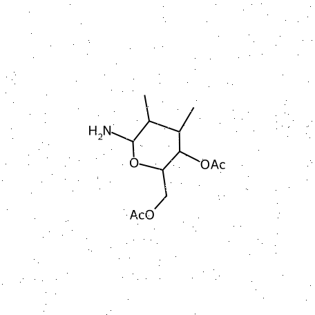 CC(=O)OCC1OC(N)C(C)C(C)C1OC(C)=O